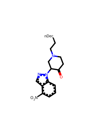 CCCCCCCCCCCCN1CCC(=O)C(n2ncc3c([N+](=O)[O-])cccc32)C1